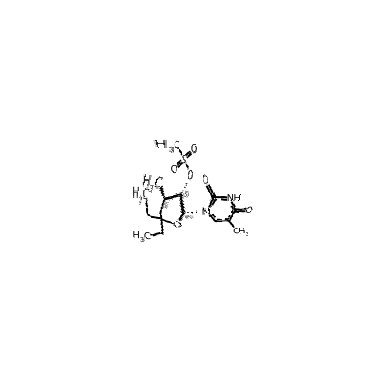 CCC1(CC)O[C@@H](n2cc(C)c(=O)[nH]c2=O)[C@@H](OS(C)(=O)=O)[C@@H]1C